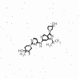 C[C@H](n1nc(N2CC[C@@H](O)C2)c2cnc(Nc3ccnc(N4CCC(C)(O)C(F)C4)n3)cc21)C(F)(F)F